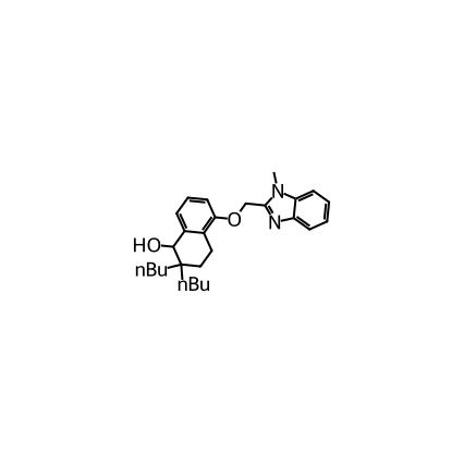 CCCCC1(CCCC)CCc2c(OCc3nc4ccccc4n3C)cccc2C1O